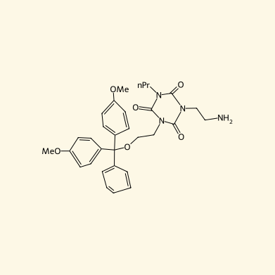 CCCn1c(=O)n(CCN)c(=O)n(CCOC(c2ccccc2)(c2ccc(OC)cc2)c2ccc(OC)cc2)c1=O